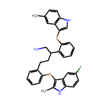 Cc1ccc2[nH]cc(Sc3ccccc3[C](CN)CCc3ccccc3Sc3c(C)[nH]c4ccc(F)cc34)c2c1